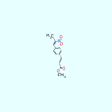 COC(=O)C=Cc1ccc(C=C(C)[N+](=O)[O-])cc1